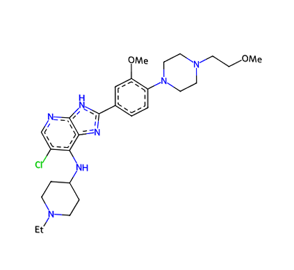 CCN1CCC(Nc2c(Cl)cnc3[nH]c(-c4ccc(N5CCN(CCOC)CC5)c(OC)c4)nc23)CC1